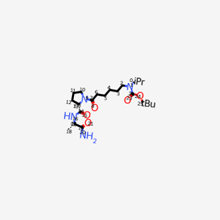 CC(C)N(CCCCCC(=O)N1CCC[C@H]1C(=O)N[C@@H](C)C(N)=O)C(=O)OC(C)(C)C